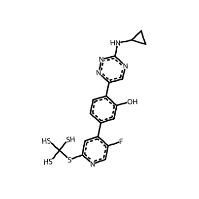 Oc1cc(-c2cc(SC(S)(S)S)ncc2F)ccc1-c1cnc(NC2CC2)nn1